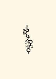 Cc1ccc(NC(=O)c2cccc(C(CC#N)n3cc(-c4ncnc5[nH]ccc45)cn3)c2)cc1